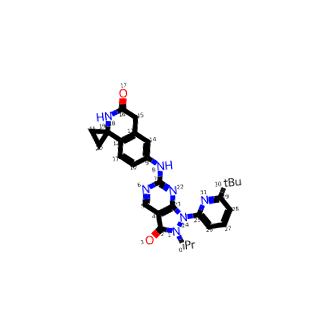 CC(C)n1c(=O)c2cnc(Nc3ccc4c(c3)CC(=O)NC43CC3)nc2n1-c1cccc(C(C)(C)C)n1